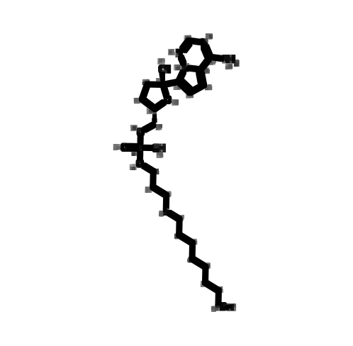 CCCCCCCCCCCCCCCCCSCCCOP(=O)(O)OC[C@@H]1CC[C@](C#N)(c2ccc3c(N)ncnn23)O1